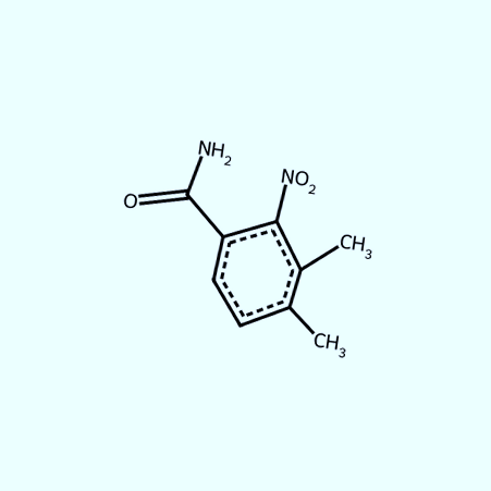 Cc1ccc(C(N)=O)c([N+](=O)[O-])c1C